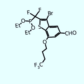 CCOP(OCC)C(F)(F)c1sc2c(OCCCC(F)(F)F)cc(C=O)cc2c1Br